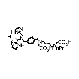 CCCN(CCCCN(CC(=O)O)Cc1ccc(CN(Cc2ncc[nH]2)C(C)c2ncc[nH]2)cc1)CC(=O)O